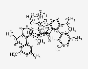 Cc1cc(C)cc(-c2c(C(C)C)ccc3c2C=C(C(C)C)[CH]3[Zr]([Cl])([Cl])([CH]2C(C(C)C)=Cc3c2ccc(C(C)C)c3-c2cc(C)cc(C)c2)[SiH](C)C)c1